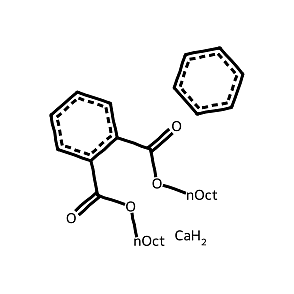 CCCCCCCCOC(=O)c1ccccc1C(=O)OCCCCCCCC.[CaH2].c1ccccc1